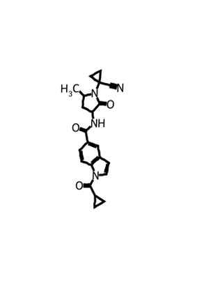 CC1CC(NC(=O)c2ccc3c(ccn3C(=O)C3CC3)c2)C(=O)N1C1(C#N)CC1